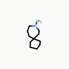 CN1CCCC2(CCCCC2)CC1